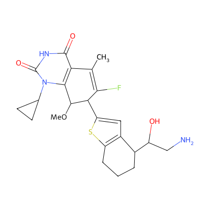 COC1c2c(c(=O)[nH]c(=O)n2C2CC2)C(C)=C(F)C1c1cc2c(s1)CCCC2C(O)CN